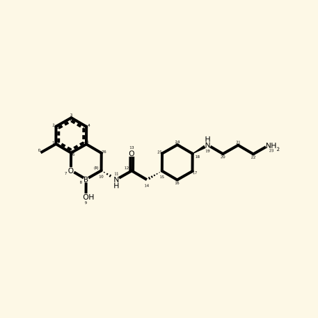 Cc1cccc2c1OB(O)[C@@H](NC(=O)C[C@H]1CC[C@H](NCCCN)CC1)C2